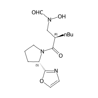 CCCC[C@H](CN(O)C=O)C(=O)N1CCC[C@H]1c1ncco1